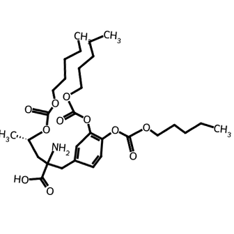 CCCCCOC(=O)Oc1ccc(CC(N)(C[C@H](C)OC(=O)OCCCCC)C(=O)O)cc1OC(=O)OCCCCC